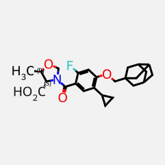 C[C@H]1OCN(C(=O)c2cc(C3CC3)c(OCC34CC5CC(C3)C(C5)C4)cc2F)[C@@H]1C(=O)O